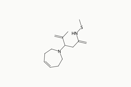 C=C(CC(C(=C)C)N1CCC=CCC1)NSC